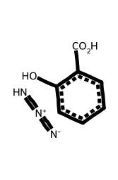 O=C(O)c1ccccc1O.[N-]=[N+]=N